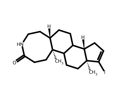 C[C@]12CCC3C(CC[C@H]4CCNC(=O)CC[C@]34C)[C@@H]1CC=C2I